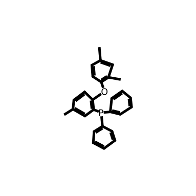 Cc1ccc(Oc2ccc(C)cc2P(c2ccccc2)c2ccccc2)c(C)c1